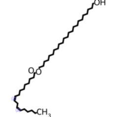 CCCCC/C=C\C/C=C\CCCCCCCC(=O)OCCCCCCCCCCCCCCCCCCCCCCCO